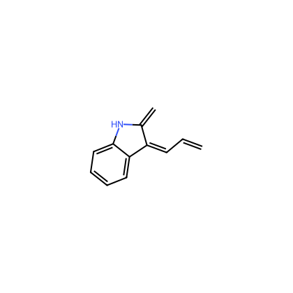 C=C/C=c1\c(=C)[nH]c2ccccc12